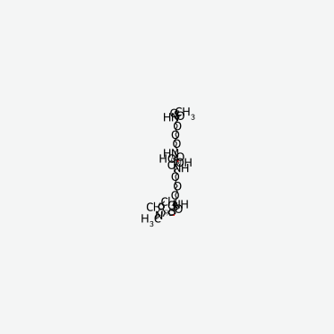 CN1Cc2c(Cl)cc(Cl)cc2[C@H](c2cccc(S(=O)(=O)NCCOCCOCCOCCNC(=O)[C@@H](O)[C@H](O)C(=O)NCCOCCOCCOCCNS(C)(=O)=O)c2)C1